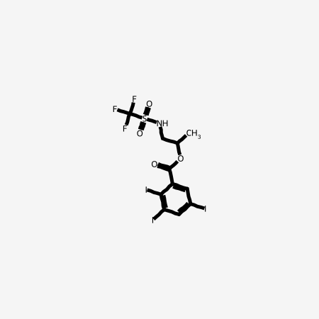 CC(CNS(=O)(=O)C(F)(F)F)OC(=O)c1cc(I)cc(I)c1I